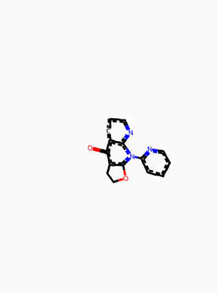 O=c1c2c(n(-c3ccccn3)c3ncccc13)OCC2